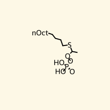 CCCCCCCCCCCCSC(C)OOP(=O)(O)O